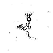 CS(=O)(=O)O[C@@H]1C[C@@H](COCCN)N(C(=O)OCc2ccc([N+](=O)[O-])cc2)C1